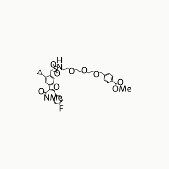 CNC(=O)c1c(-c2ccc(F)cc2)oc2cc(CS(=O)(=O)NCCOCCOCCOCc3ccc(C(=O)OC)cc3)c(C3CC3)cc12